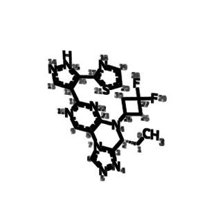 CC[C@@H]1c2nncn2-c2cnc(-c3cn[nH]c3-c3nccs3)nc2N1C1CC(F)(F)C1